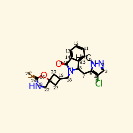 Cn1ncc(Cl)c1CC1c2ccccc2C(=O)N1CC1CC2(CNC(=S)O2)C1